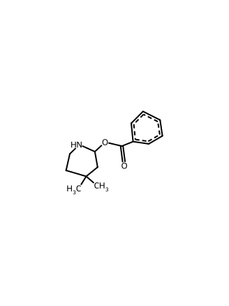 CC1(C)CCNC(OC(=O)c2ccccc2)C1